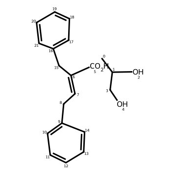 CC(O)CO.O=C(O)C(=CCc1ccccc1)Cc1ccccc1